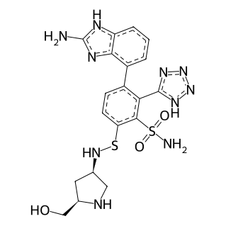 Nc1nc2c(-c3ccc(SN[C@H]4CN[C@@H](CO)C4)c(S(N)(=O)=O)c3-c3nnn[nH]3)cccc2[nH]1